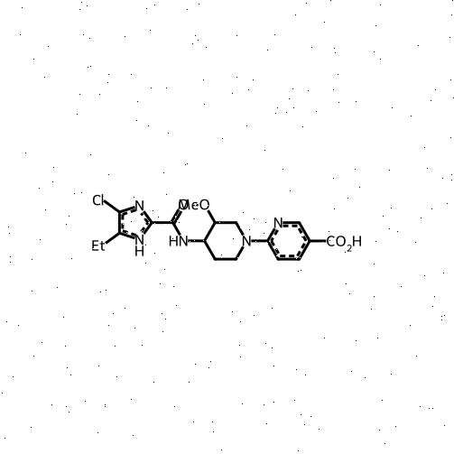 CCc1[nH]c(C(=O)NC2CCN(c3ccc(C(=O)O)cn3)CC2OC)nc1Cl